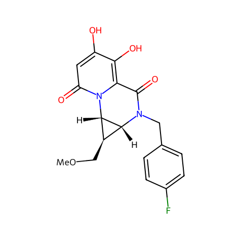 COC[C@@H]1[C@@H]2[C@H]1n1c(c(O)c(O)cc1=O)C(=O)N2Cc1ccc(F)cc1